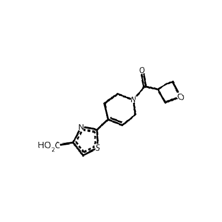 O=C(O)c1csc(C2=CCN(C(=O)C3COC3)CC2)n1